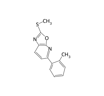 CSc1nc2ccc(-c3ccccc3C)nc2o1